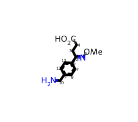 CO/N=C(\CCC(=O)O)c1ccc(CN)cc1